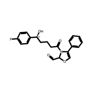 O=CC1OC=C(c2ccccc2)N1C(=O)CCC[C@H](O)c1ccc(F)cc1